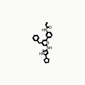 C=CC(=O)Nc1cccc(-c2cc(Cc3ccccc3)cc(Nc3cc(C4CCCC4)[nH]n3)n2)c1